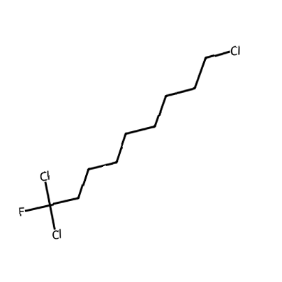 FC(Cl)(Cl)CCCCCCCCCl